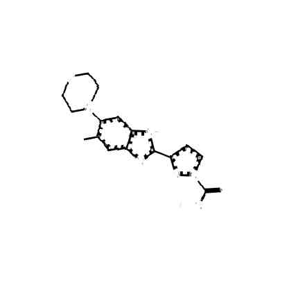 NC(=O)n1c[c]c(-c2nc3cc(F)c(N4CCOCC4)cc3[nH]2)n1